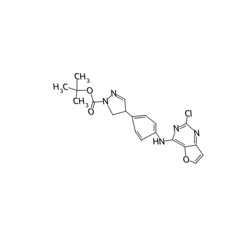 CC(C)(C)OC(=O)N1CC(c2ccc(Nc3nc(Cl)nc4ccoc34)cc2)C=N1